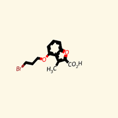 Cc1c(C(=O)O)oc2cccc(OCCCBr)c12